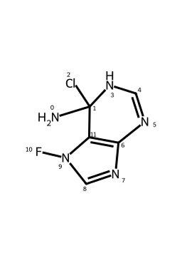 NC1(Cl)NC=Nc2ncn(F)c21